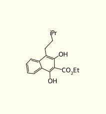 CCOC(=O)c1c(O)c(CCC(C)C)c2ccccc2c1O